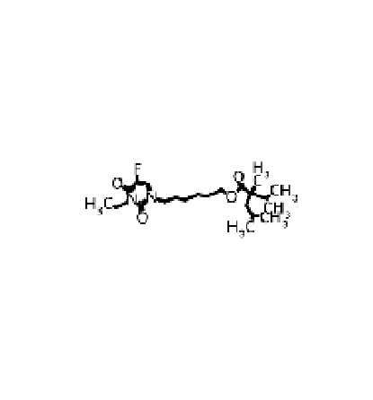 CCn1c(=O)c(F)cn(CCCCCCOC(=O)C(C)(CC(C)C)C(C)C)c1=O